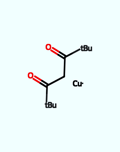 CC(C)(C)C(=O)CC(=O)C(C)(C)C.[Cu]